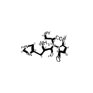 CC(C)CC(C(=O)O)N(C(=O)C(N)Cc1c[nH]cn1)N1C(=O)C=CC1=O